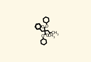 CC(C)CC(Cc1ccccc1)(C(=O)OC1CCCCC1)C(=O)OC1CCCCC1